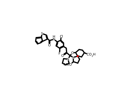 COC1CCCN1C(OC1CCC(C(=O)O)CC1)(C(=O)Cc1cc(Cl)c(NC(=O)c2csc3ccccc23)cc1F)N1CCCC1